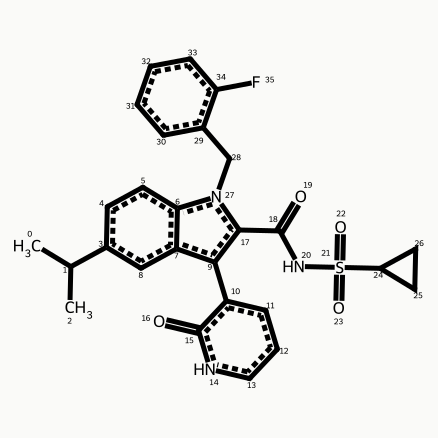 CC(C)c1ccc2c(c1)c(-c1ccc[nH]c1=O)c(C(=O)NS(=O)(=O)C1CC1)n2Cc1ccccc1F